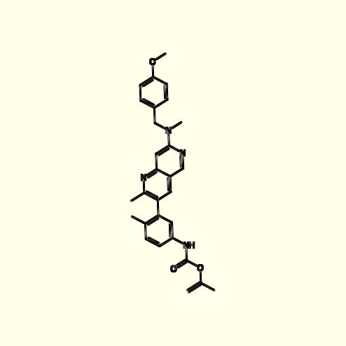 C=C(C)OC(=O)Nc1ccc(C)c(-c2cc3cnc(N(C)Cc4ccc(OC)cc4)cc3nc2C)c1